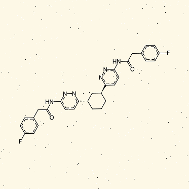 O=C(Cc1ccc(F)cc1)Nc1ccc([C@H]2CCC[C@H](c3ccc(NC(=O)Cc4ccc(F)cc4)nn3)C2)nn1